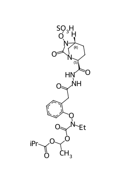 CCN(Oc1ccccc1CC(=O)NNC(=O)[C@@H]1CC[C@@H]2CN1C(=O)N2OS(=O)(=O)O)C(=O)OC(C)OC(=O)C(C)C